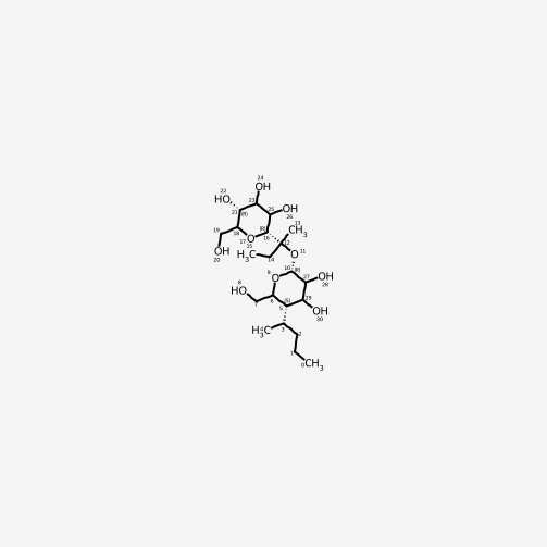 CCCC(C)[C@@H]1C(CO)O[C@H](OC(C)(CC)[C@@H]2OC(CO)[C@H](O)C(O)C2O)C(O)C1O